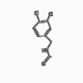 O=[C]NCc1ccc(Cl)c(Cl)c1